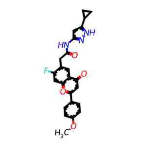 COc1ccc(-c2cc(=O)c3cc(CC(=O)Nc4cc(C5CC5)[nH]n4)c(F)cc3o2)cc1